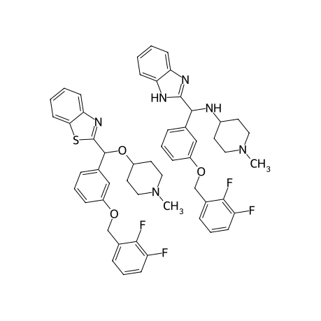 CN1CCC(NC(c2cccc(OCc3cccc(F)c3F)c2)c2nc3ccccc3[nH]2)CC1.CN1CCC(OC(c2cccc(OCc3cccc(F)c3F)c2)c2nc3ccccc3s2)CC1